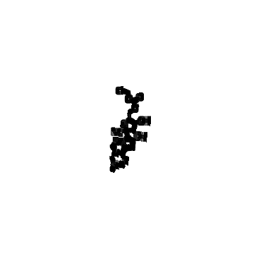 CN(C)/C=N\c1ncnn2c([C@]3(C#N)O[C@H](COC(=O)OCCl)[C@@H](O)[C@H]3O)ccc12